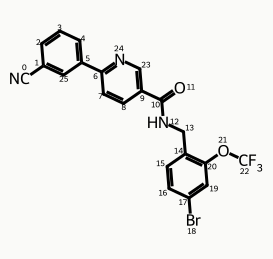 N#Cc1cccc(-c2ccc(C(=O)NCc3ccc(Br)cc3OC(F)(F)F)cn2)c1